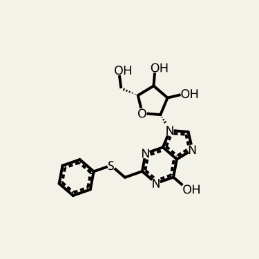 OC[C@H]1O[C@@H](n2cnc3c(O)nc(CSc4ccccc4)nc32)C(O)C1O